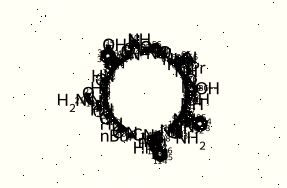 CCCC[C@H]1CN(C)[C@@H](CCCC)C(=O)N[C@@H](C)C(=O)N[C@H](C(=O)NCC(N)=O)CSCC(=O)N[C@@H](Cc2ccc(O)cc2)C(=O)N(C)[C@@H](C)C(=O)N[C@@H](CC(N)=O)C(=O)N2CCC[C@H]2C(=O)N[C@@H](Cc2cnc[nH]2)C(=O)N[C@@H](CC(C)C)C(=O)N2C[C@H](O)C[C@H]2C(O)N[C@@H](Cc2c[nH]c3ccccc23)C(=O)NC(CCN)C(=O)N[C@@H](Cc2c[nH]c3ccccc23)C(=O)N1C